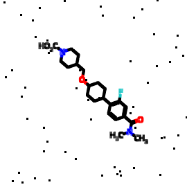 CN(C)C(=O)c1ccc(C2CCC(OCC3CCN(C(=O)O)CC3)CC2)c(F)c1